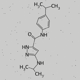 CC(C)Nc1cc(C(=O)Nc2ccc(C(C)C)cc2)[nH]n1